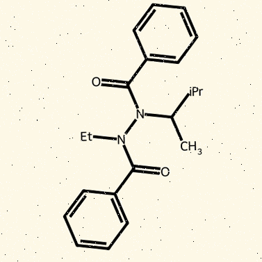 CCN(C(=O)c1ccccc1)N(C(=O)c1ccccc1)C(C)C(C)C